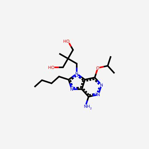 CCCCc1nc2c(N)nnc(OC(C)C)c2n1CC(C)(CO)CO